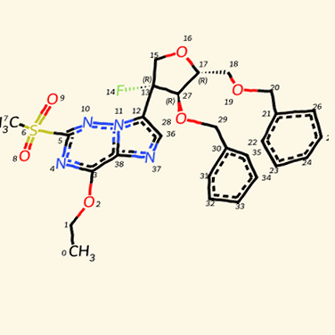 CCOc1nc(S(C)(=O)=O)nn2c([C@@]3(F)CO[C@H](COCc4ccccc4)[C@H]3OCc3ccccc3)cnc12